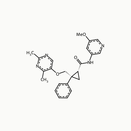 COc1cncc(NC(=O)[C@@H]2C[C@@]2(COc2cnc(C)nc2C)c2ccccc2)c1